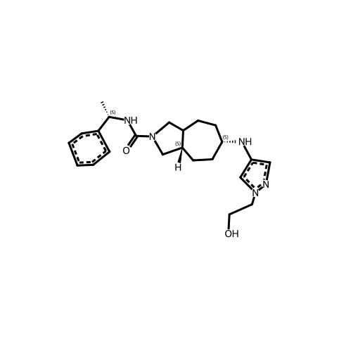 C[C@H](NC(=O)N1CC2CC[C@H](Nc3cnn(CCO)c3)CC[C@@H]2C1)c1ccccc1